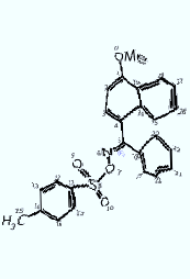 COc1ccc(/C(=N/OS(=O)(=O)c2ccc(C)cc2)c2ccccc2)c2ccccc12